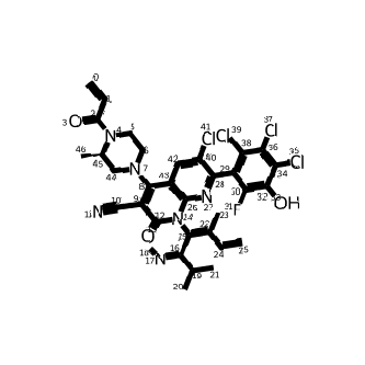 C=CC(=O)N1CCN(c2c(C#N)c(=O)n(C(/C(=N\C)C(C)C)=C(\C)C=C)c3nc(-c4c(F)c(O)c(Cl)c(Cl)c4Cl)c(Cl)cc23)C[C@H]1C